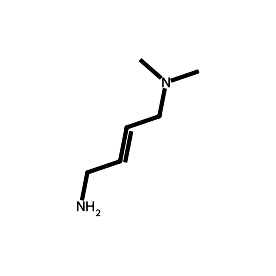 CN(C)CC=CCN